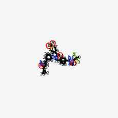 CC(F)(F)c1nc(C23CCC(CN(C(=O)C4CCS(=O)(=O)CC4)c4cccc(-c5cc(C6CC6)on5)c4)(CC2)CC3)no1